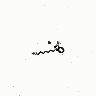 CCn1c[n+](CCCCCCCO)c2ccccc21.[Br-]